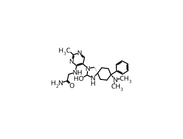 Cc1ncc(N2C[C@]3(CC[C@](c4ccccc4)(N(C)C)CC3)NC2O)c(NCC(N)=O)n1